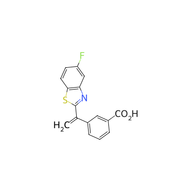 C=C(c1cccc(C(=O)O)c1)c1nc2cc(F)ccc2s1